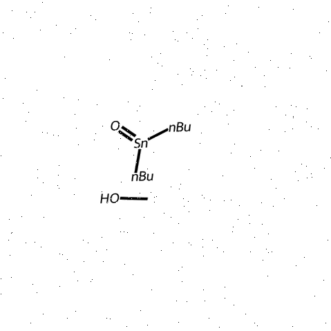 CCC[CH2][Sn](=[O])[CH2]CCC.CO